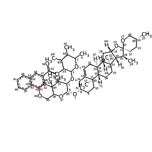 CC1OC(OC2[C@H](O[C@H]3CC[C@@]4(C)C(=CC[C@H]5[C@@H]6C[C@@H]7O[C@]8(CC[C@@H](C)CO8)[C@@H](C)[C@@H]7[C@@]6(C)CC[C@@H]54)C3)OC3COC(c4ccccc4)OC3(C)[C@@H]2C)C(OC(=O)c2ccccc2)C(C)C1C